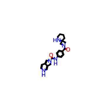 O=C(Nc1ccc(C(=O)N2CC3(CCCCN3)C2)cc1)N1C=C2C=CNC=C2C1